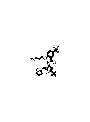 CSCCCOc1ccc(C(F)(F)F)cc1C(=O)N=c1cc(C(C)(C)C)n(C)n1C[C@H]1CCCO1